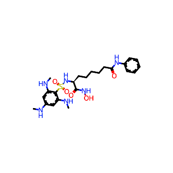 CNc1cc(NC)c(S(=O)(=O)N[C@@H](CCCCCC(=O)Nc2ccccc2)C(=O)NO)c(NC)c1